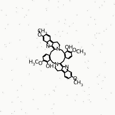 COc1ccc2c(c1)=NC1=C3Cc4ccc(OC)c(O)c4CN4CCC5=c6ccc(OC)cc6=NC5=C4Cc4ccc(OC)c(O)c4CN3CCC=21